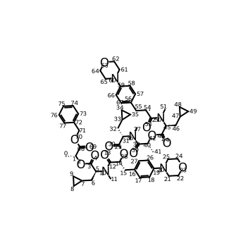 C[C@@H](OC(=O)[C@H](CC1CC1)N(C)C(=O)[C@@H](Cc1ccc(N2CCOCC2)cc1)OC(=O)[C@H](CC1CC1)N(C)C(=O)[C@@H](C)OC(=O)[C@H](CC1CC1)N(C)C(=O)[CH]Cc1ccc(N2CCOCC2)cc1)C(=O)OCc1ccccc1